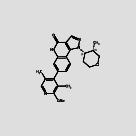 COc1ncc(C)c(-c2ccc3c(c2)[nH]c(=O)c2cnn([C@H]4CCOC[C@H]4C)c23)c1C